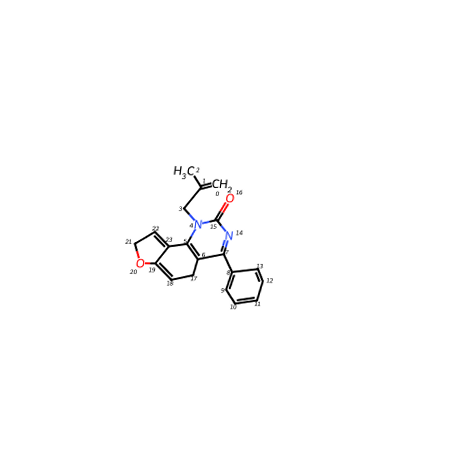 C=C(C)Cn1c2c(c(-c3ccccc3)nc1=O)CC=C1OCC=C12